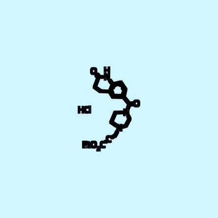 CCOC(=O)CCN1CCN(C(=O)c2ccc3c(c2)CCC(=O)N3)CC1.Cl